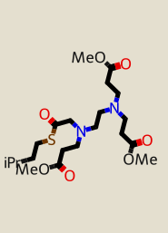 COC(=O)CCN(CCC(=O)OC)CCN(CCC(=O)OC)CC(=O)SCCC(C)C